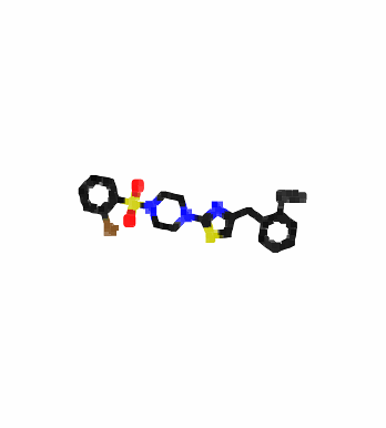 COc1ccccc1Cc1csc(N2CCN(S(=O)(=O)c3ccccc3Br)CC2)n1